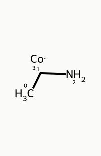 CCN.[Co]